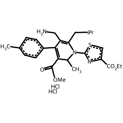 CCOC(=O)c1csc(N2C(CC(C)C)=C(CN)C(c3ccc(C)cc3)=C(C(=O)OC)C2C)n1.Cl.Cl